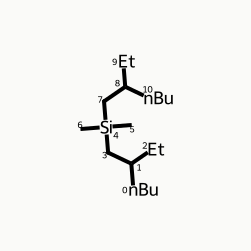 CCCCC(CC)C[Si](C)(C)CC(CC)CCCC